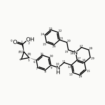 O=C(O)[C@@H]1C[C@H]1c1ccc(NCc2cccc3c2N(CCc2ccccc2)CCC3)cc1